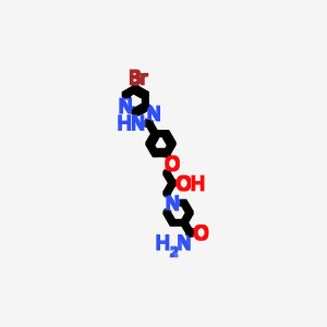 NC(=O)C1CCN(CC(O)COc2ccc(-c3nc4cc(Br)cnc4[nH]3)cc2)CC1